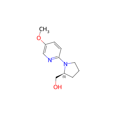 COc1ccc(N2CCC[C@H]2CO)nc1